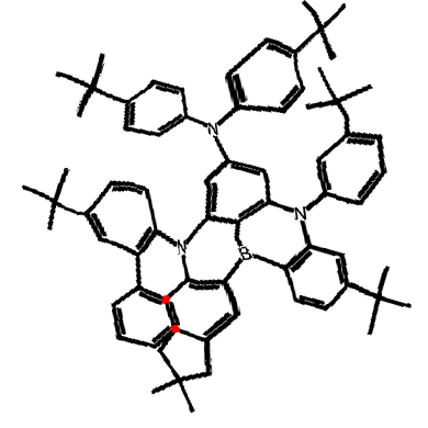 CC1(C)Cc2cc3c(cc2C1)N(c1ccc(C(C)(C)C)cc1-c1ccccc1)c1cc(N(c2ccc(C(C)(C)C)cc2)c2ccc(C(C)(C)C)cc2)cc2c1B3c1ccc(C(C)(C)C)cc1N2c1cccc(C(C)(C)C)c1